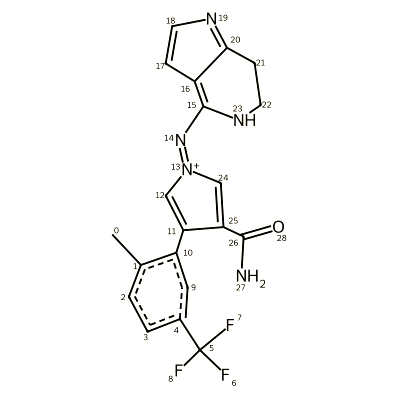 Cc1ccc(C(F)(F)F)cc1C1=C[N+](=NC2=C3C=CN=C3CCN2)C=C1C(N)=O